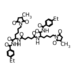 CCc1ccc(C(=O)NC(=O)C(CCCCN2C(=O)CC(C)C2=O)NC(=O)CCCC(=O)NC(CCCCN2C(=O)CC(C)C2=O)C(=O)NC(=O)c2ccc(CC)cc2)cc1